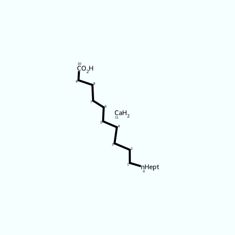 CCCCCCCCCCCCCCCCC(=O)O.[CaH2]